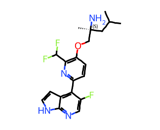 CC(C)C[C@](C)(N)COc1ccc(-c2c(F)cnc3[nH]ccc23)nc1C(F)F